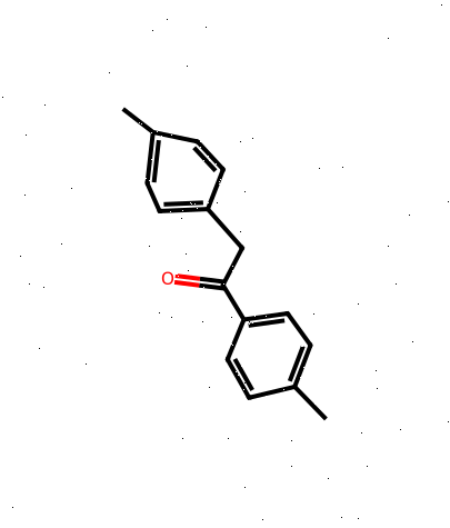 Cc1ccc(CC(=O)c2ccc(C)cc2)cc1